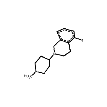 O=C(O)N1CCC(N2CCc3c(F)cccc3C2)CC1